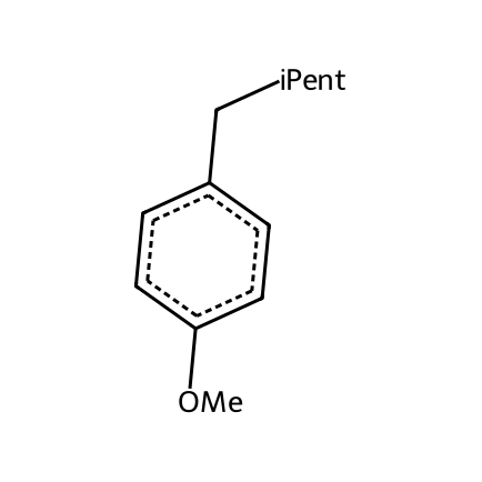 CCCC(C)Cc1ccc(OC)cc1